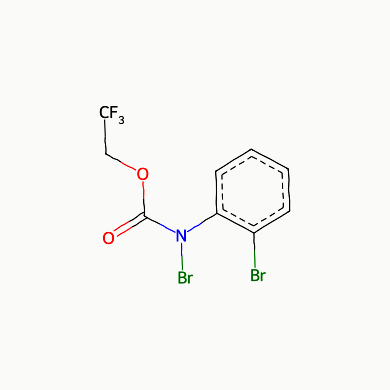 O=C(OCC(F)(F)F)N(Br)c1ccccc1Br